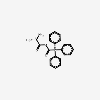 C[C@H](N)C(=O)OC(=O)[PH](c1ccccc1)(c1ccccc1)c1ccccc1